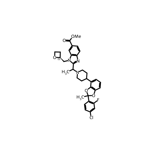 COC(=O)c1ccc2nc(C(C)N3CCC(c4cccc5c4OC(C)(c4ccc(Cl)cc4F)O5)CC3)n(C[C@@H]3CCO3)c2c1